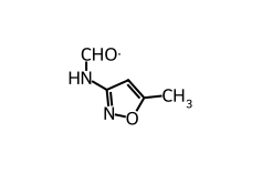 Cc1cc(N[C]=O)no1